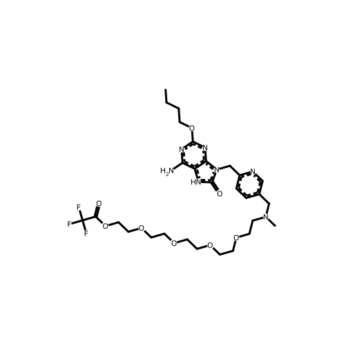 CCCCOc1nc(N)c2[nH]c(=O)n(Cc3ccc(CN(C)CCOCCOCCOCCOCCOC(=O)C(F)(F)F)cn3)c2n1